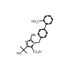 CCCCc1nc(C(C)(C)O)c(C(=O)OCC)n1Cc1ccc(-c2ccccc2C(=O)O)cc1